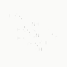 Cc1nc(N[C@H]2CCN(C)C[C@@H]2C)c(Cc2ccc(F)cc2)nc1C(=O)N(C)C